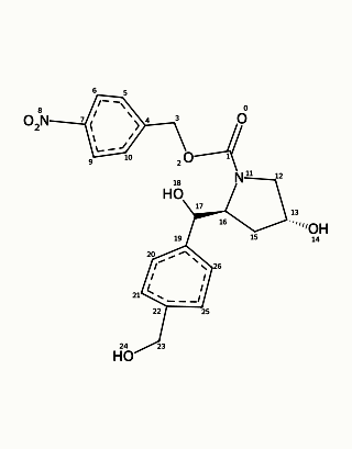 O=C(OCc1ccc([N+](=O)[O-])cc1)N1C[C@H](O)C[C@H]1C(O)c1ccc(CO)cc1